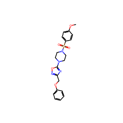 COc1ccc(S(=O)(=O)N2CCN(c3nc(COc4ccccc4)no3)CC2)cc1